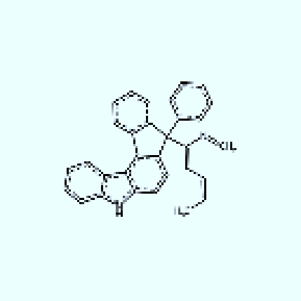 C=N/C(=C\C=C/C)C1(c2ccccc2)c2ccccc2-c2c1ccc1[nH]c3ccccc3c21